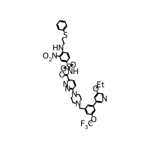 CCOc1cncc(-c2cc(CN3CCN(c4ccc(C(=O)NS(=O)(=O)c5ccc(NCCSc6ccccc6)c([N+](=O)[O-])c5)nn4)CC3)cc(OC(F)(F)F)c2)c1